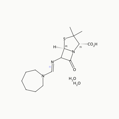 CC1(C)S[C@@H]2C(/N=C/N3CCCCCC3)C(=O)N2[C@H]1C(=O)O.O.O